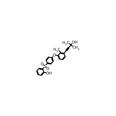 Cc1c(C#CC(C)(C)O)cccc1Oc1ccc(S(=O)(=O)c2ccccc2O)cc1